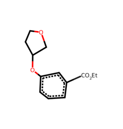 CCOC(=O)c1cccc(OC2CCOC2)c1